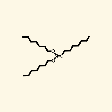 CCCCCCCO[Si](OCCCCCCC)OCCCCCCC